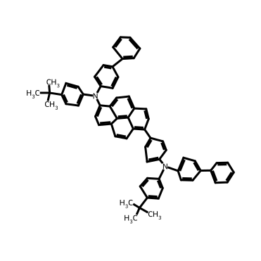 CC(C)(C)c1ccc(N(c2ccc(-c3ccccc3)cc2)c2ccc(-c3ccc4ccc5c(N(c6ccc(-c7ccccc7)cc6)c6ccc(C(C)(C)C)cc6)ccc6ccc3c4c65)cc2)cc1